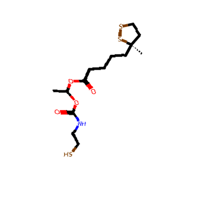 CC(OC(=O)CCCC[C@]1(C)CCSS1)OC(=O)NCCS